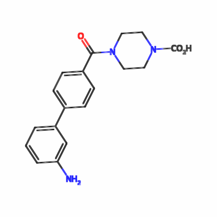 Nc1cccc(-c2ccc(C(=O)N3CCN(C(=O)O)CC3)cc2)c1